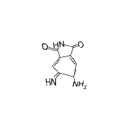 N=C1C=C2C(=O)NC(=O)C2=CC1N